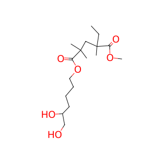 CCC(C)(CC(C)(C)C(=O)OCCCCC(O)CO)C(=O)OC